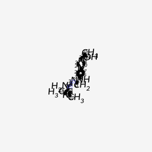 C=C(/N=C\C=C(/N)c1sc(C)nc1C)Nc1ccc(N2CCN(CC(C)O)CC2)cc1